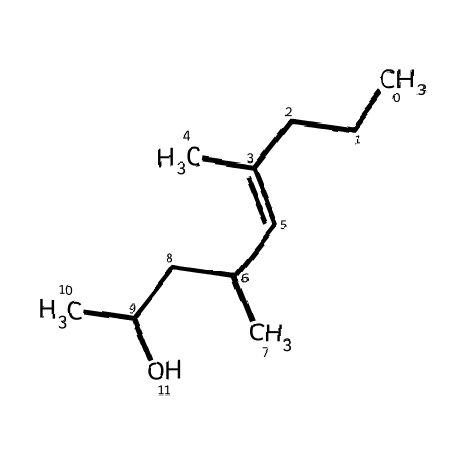 CCCC(C)=CC(C)CC(C)O